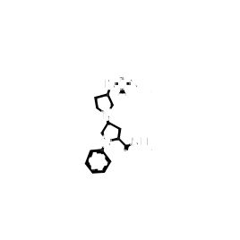 NC(=O)C1CC(N2CCC(NS(N)(=O)=O)C2)CN1c1ccccc1